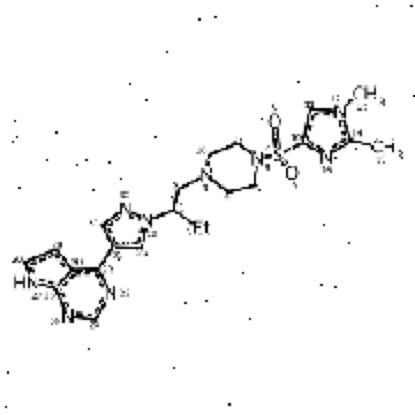 CCC(CN1CCN(S(=O)(=O)c2cn(C)c(C)n2)CC1)n1cc(-c2ncnc3[nH]ccc23)cn1